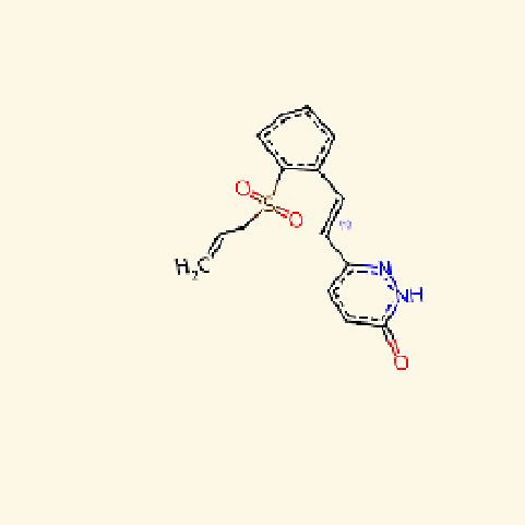 C=CCS(=O)(=O)c1ccccc1/C=C/c1ccc(=O)[nH]n1